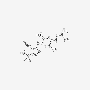 Cc1cc(Oc2snc(C3(C)CC3)c2C#N)c(C)cc1N=CN(C)C